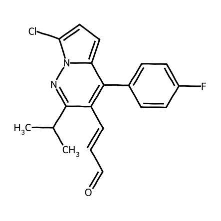 CC(C)c1nn2c(Cl)ccc2c(-c2ccc(F)cc2)c1/C=C/C=O